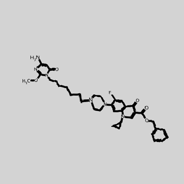 COc1nc(N)cc(=O)n1CCCCCCCN1CCN(c2cc3c(cc2F)c(=O)c(C(=O)OCc2ccccc2)cn3C2CC2)CC1